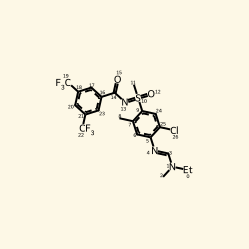 CCN(C)/C=N/c1cc(C)c(S(C)(=O)=NC(=O)c2cc(C(F)(F)F)cc(C(F)(F)F)c2)cc1Cl